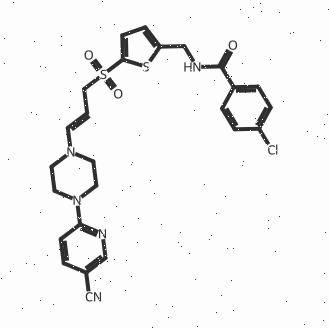 N#Cc1ccc(N2CCN(C=CCS(=O)(=O)c3ccc(CNC(=O)c4ccc(Cl)cc4)s3)CC2)nc1